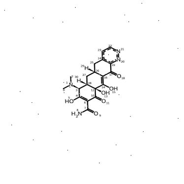 CN(C)[C@@H]1C(O)=C(C(N)=O)C(=O)[C@@]2(O)C(O)=C3C(=O)c4nnccc4C[C@H]3C[C@@H]12